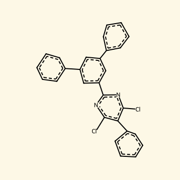 Clc1nc(-c2cc(-c3ccccc3)cc(-c3ccccc3)c2)nc(Cl)c1-c1ccccc1